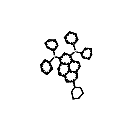 c1ccc(N(c2ccccc2)c2cc(N(c3ccccc3)c3ccccc3)c3ccc4cc(C5CCCCC5)cc5ccc2c3c54)cc1